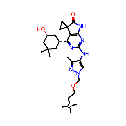 Cc1nn(COCC[Si](C)(C)C)cc1Nc1nc2c(c([C@H]3C[C@@H](O)CC(C)(C)C3)n1)C1(CC1)C(=O)N2